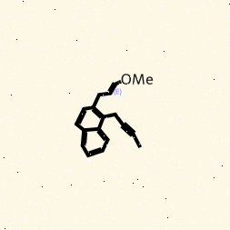 CC#CCc1c(C/C=C/OC)ccc2ccccc12